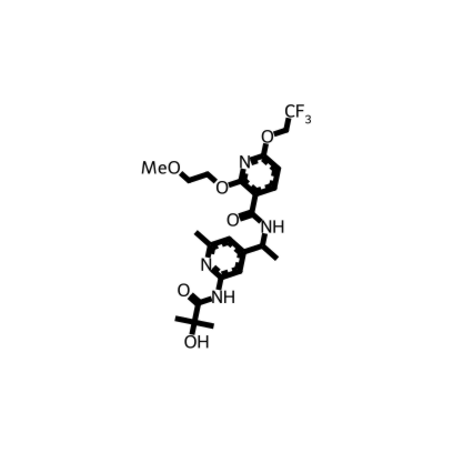 COCCOc1nc(OCC(F)(F)F)ccc1C(=O)NC(C)c1cc(C)nc(NC(=O)C(C)(C)O)c1